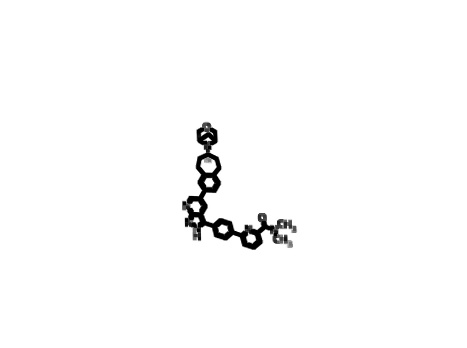 CN(C)C(=O)c1cccc(-c2ccc(-c3[nH]nc4ncc(-c5ccc6c(c5)CC[C@@H](N5C7COCC5C7)CC6)cc34)cc2)n1